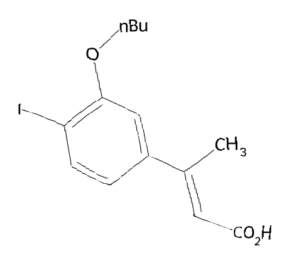 CCCCOc1cc(/C(C)=C/C(=O)O)ccc1I